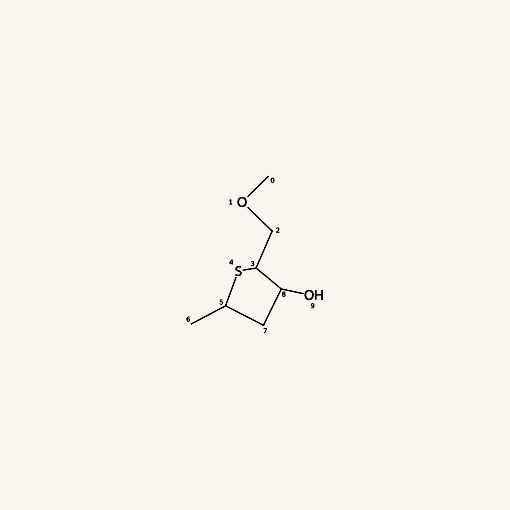 COCC1SC(C)CC1O